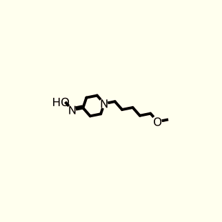 COCCCCCN1CCC(=NO)CC1